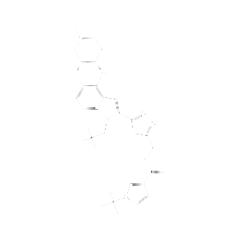 CN1CC[C@@H](Nc2cccc3c2cc(-c2nnc(CNC(=O)c4ccn(C(C)(C)C)c4)o2)n3CC(F)(F)F)[C@@H](F)C1